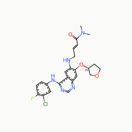 CN(C)C(=O)C=CCNc1cc2c(Nc3ccc(F)c(Cl)c3)ncnc2cc1O[C@H]1CCOC1